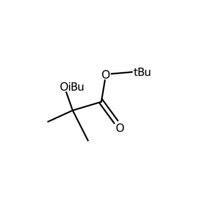 CC(C)COC(C)(C)C(=O)OC(C)(C)C